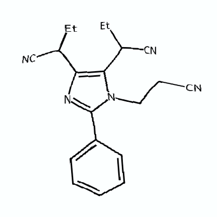 CCC(C#N)c1nc(-c2ccccc2)n(CCC#N)c1C(C#N)CC